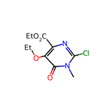 CCOC(=O)c1nc(Cl)n(C)c(=O)c1OCC